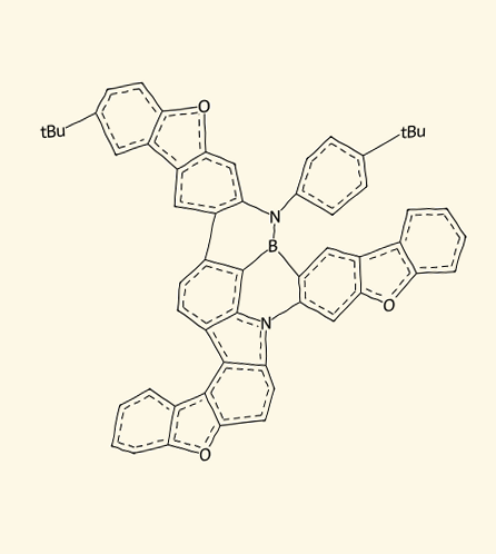 CC(C)(C)c1ccc(N2B3c4cc5c(cc4-n4c6ccc7oc8ccccc8c7c6c6ccc(c3c64)-c3cc4c(cc32)oc2ccc(C(C)(C)C)cc24)oc2ccccc25)cc1